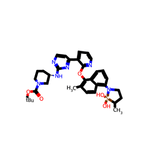 Cc1ccc2c(N3CCC(C)S3(O)O)cccc2c1Oc1ncccc1-c1ccnc(N[C@H]2CCCN(C(=O)OC(C)(C)C)C2)n1